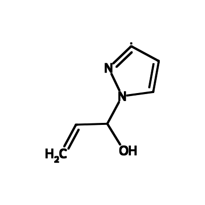 C=CC(O)n1cc[c]n1